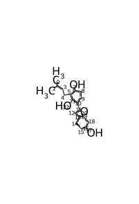 CC(C)=CCc1c(O)ccc(-c2cc3ccc(O)cc3o2)c1O